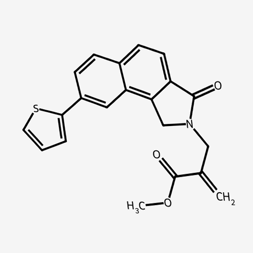 C=C(CN1Cc2c(ccc3ccc(-c4cccs4)cc23)C1=O)C(=O)OC